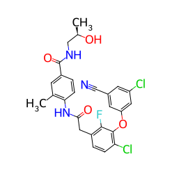 Cc1cc(C(=O)NC[C@@H](C)O)ccc1NC(=O)Cc1ccc(Cl)c(Oc2cc(Cl)cc(C#N)c2)c1F